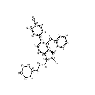 Cc1nc2c(Oc3ccccc3)c(-c3ccc(=O)n(C)c3)ccc2n1CCCN1CCOCC1